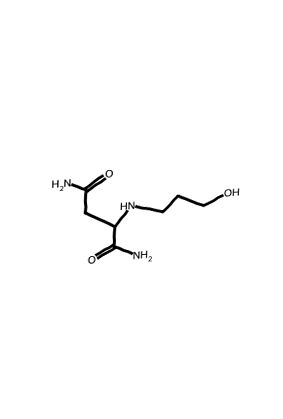 NC(=O)CC(NCCCO)C(N)=O